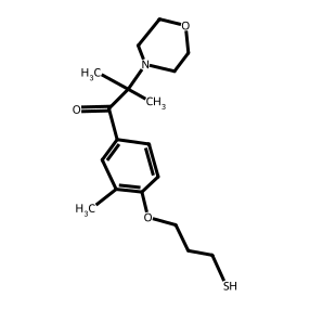 Cc1cc(C(=O)C(C)(C)N2CCOCC2)ccc1OCCCS